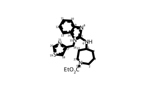 CCOC(=O)N1CCCC(Nc2nc3ccccc3n2Cc2cscn2)CC1